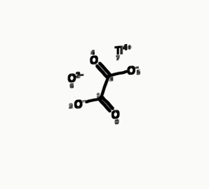 O=C([O-])C(=O)[O-].[O-2].[Ti+4]